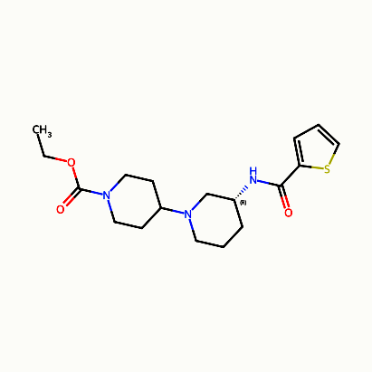 CCOC(=O)N1CCC(N2CCC[C@@H](NC(=O)c3cccs3)C2)CC1